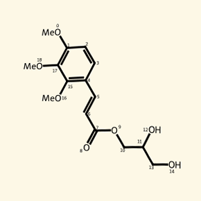 COc1ccc(C=CC(=O)OCC(O)CO)c(OC)c1OC